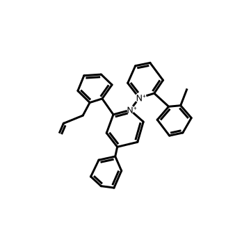 C=CCc1ccccc1-c1cc(-c2ccccc2)cc[n+]1-[n+]1ccccc1-c1ccccc1C